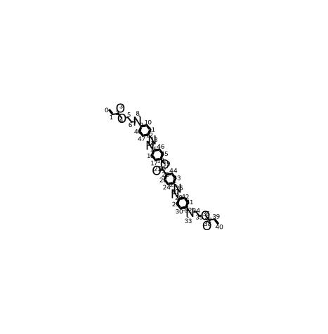 C=CC(=O)OCCN(C)c1ccc(N=Nc2ccc(OC(=O)c3ccc(N=Nc4ccc(N(C)CCOC(=O)C=C)cc4)cc3)cc2)cc1